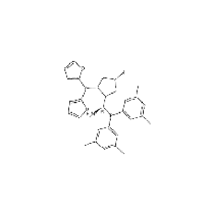 Cc1cc(C)cc(P(c2cc(C)cc(C)c2)[C@@H](N)C2CC(I)CC2P(c2ccco2)c2ccco2)c1